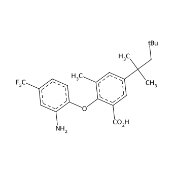 Cc1cc(C(C)(C)CC(C)(C)C)cc(C(=O)O)c1Oc1ccc(C(F)(F)F)cc1N